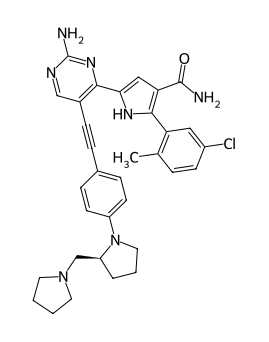 Cc1ccc(Cl)cc1-c1[nH]c(-c2nc(N)ncc2C#Cc2ccc(N3CCC[C@H]3CN3CCCC3)cc2)cc1C(N)=O